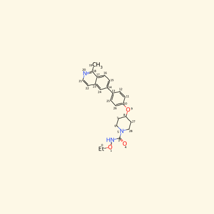 CCONC(=O)N1CCC(Oc2ccc(-c3ccc4c(C)nccc4c3)cc2)CC1